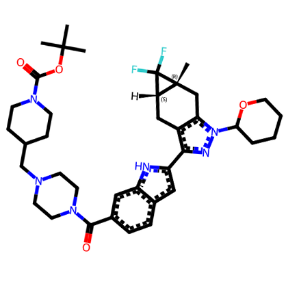 CC(C)(C)OC(=O)N1CCC(CN2CCN(C(=O)c3ccc4cc(-c5nn(C6CCCCO6)c6c5C[C@@H]5C(F)(F)[C@]5(C)C6)[nH]c4c3)CC2)CC1